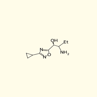 CCC(N)[C@H](O)c1nc(C2CC2)no1